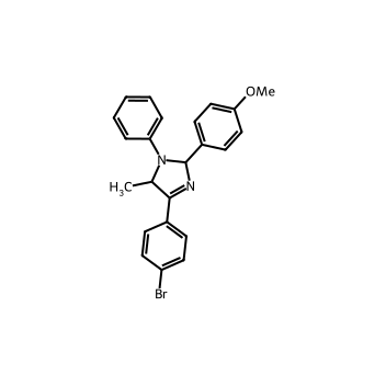 COc1ccc(C2N=C(c3ccc(Br)cc3)C(C)N2c2ccccc2)cc1